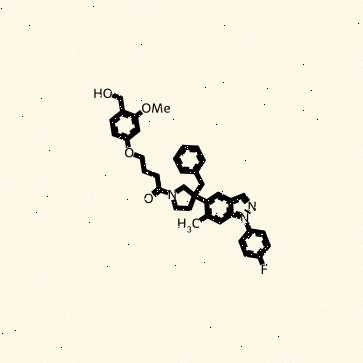 COc1cc(OCCCC(=O)N2CCC(Cc3ccccc3)(c3cc4cnn(-c5ccc(F)cc5)c4cc3C)C2)ccc1CO